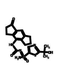 CC(C)(O)c1ncc(S(N)(=O)=NC(=O)Nc2c3c(cc4c2CCC4=O)CCC3)s1